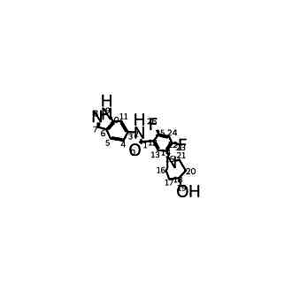 O=C(Nc1ccc2cn[nH]c2c1)c1cc(N2CCC(O)CC2)c(F)cc1F